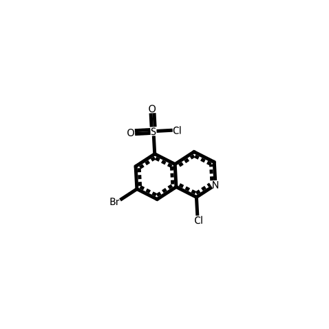 O=S(=O)(Cl)c1cc(Br)cc2c(Cl)nccc12